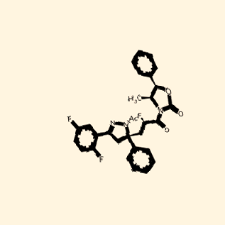 CC(=O)N1N=C(c2cc(F)ccc2F)C[C@@]1(C[C@H](F)C(=O)N1C(=O)O[C@H](c2ccccc2)[C@@H]1C)c1ccccc1